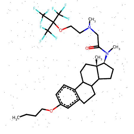 CCCCOc1ccc2c(c1)CCC1C2CC[C@@]2(C)C1CC[C@@H]2N(C)C(=O)CN(C)CCOC(C(F)(F)F)(C(F)(F)F)C(F)(F)F